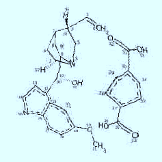 C=C[C@@H]1CN2CCC1C[C@@H]2[C@H](O)c1ccnc2ccc(OC)cc12.O=C(O)c1ccc(C(=O)O)cc1